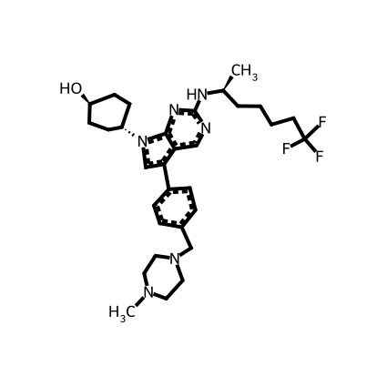 C[C@@H](CCCCC(F)(F)F)Nc1ncc2c(-c3ccc(CN4CCN(C)CC4)cc3)cn([C@H]3CC[C@H](O)CC3)c2n1